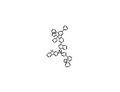 CC1(C)c2ccccc2-c2ccc(N(c3ccc(-c4cccc5c4oc4ccccc45)cc3)c3ccc(-c4ccc5c(c4)C(c4ccccc4)(c4ccccc4)c4c(-c6ccccc6)cc(-c6ccccc6)cc4-5)c4ccccc34)cc21